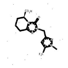 Cn1nc(Cn2nc3n(c2=O)[C@H](C(=O)O)CCC3)cc1C(F)(F)F